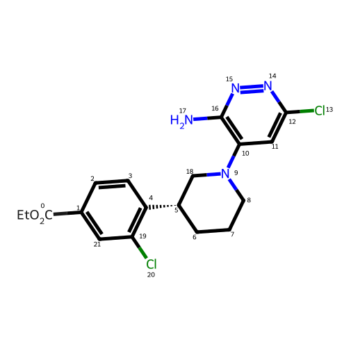 CCOC(=O)c1ccc([C@H]2CCCN(c3cc(Cl)nnc3N)C2)c(Cl)c1